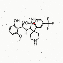 COc1cccc(O)c1C(=O)NC(C1(c2cccc(C(F)(F)F)c2)CCNCC1)S(N)(=O)=O